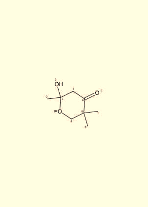 CC1(O)CC(=O)C(C)(C)CO1